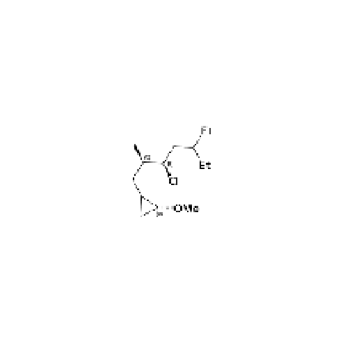 CCC(CC)C[C@@H](Cl)[C@H](C)CC1C[C@H]1OC